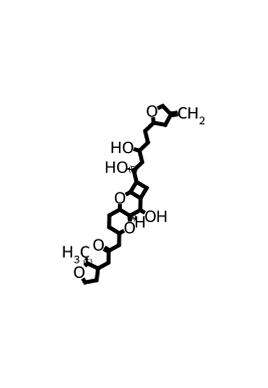 C=C1COC(CCC(O)C[C@@H](O)C2CC3C2OC2CCC(CC(=O)CC4CCO[C@H]4C)O[C@@H]2C3O)C1